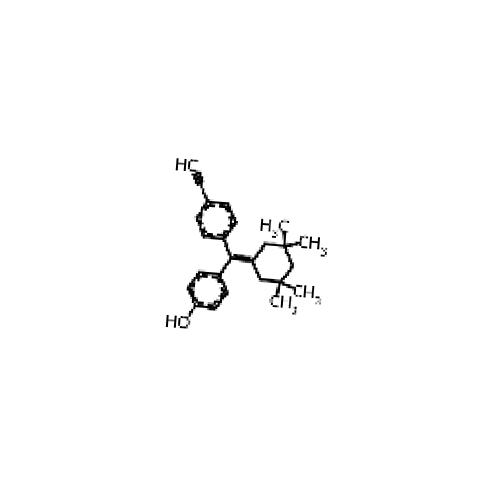 C#Cc1ccc(C(=C2CC(C)(C)CC(C)(C)C2)c2ccc(O)cc2)cc1